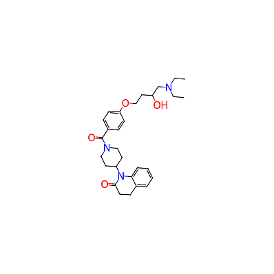 CCN(CC)CC(O)CCOc1ccc(C(=O)N2CCC(N3C(=O)CCc4ccccc43)CC2)cc1